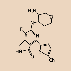 N#Cc1ccc(-c2nc(N[C@@H]3CCOC[C@@H]3N)c(F)c3c2C(=O)NC3)s1